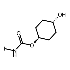 O=C(NI)O[C@H]1CC[C@H](O)CC1